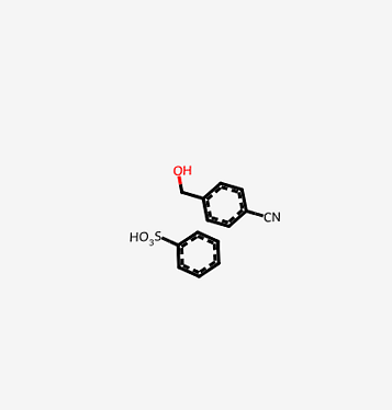 N#Cc1ccc(CO)cc1.O=S(=O)(O)c1ccccc1